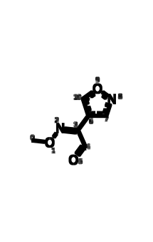 CO/N=C(\[C]=O)c1cnoc1